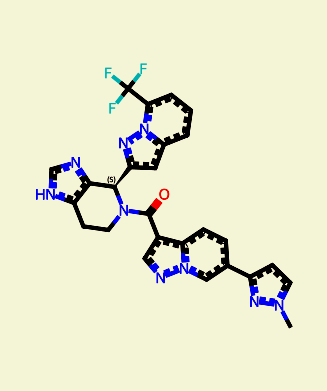 Cn1ccc(-c2ccc3c(C(=O)N4CCc5[nH]cnc5[C@H]4c4cc5cccc(C(F)(F)F)n5n4)cnn3c2)n1